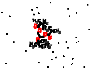 [CH2]C[Si](C)(C)OC(COC(=O)C(=C)C)COC(=O)C(=C)C